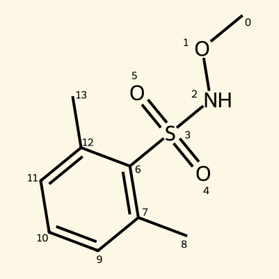 CONS(=O)(=O)c1c(C)cccc1C